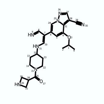 CC(C)Oc1cc(/C(C=N)=C/NC2CCN(C(=O)C3CNC3)CC2)cn2ncc(C#N)c12